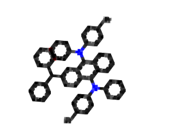 CC(C)c1ccc(N(c2ccccc2)c2c3ccccc3c(N(c3ccccc3)c3ccc(C(C)C)cc3)c3cc(C(c4ccccc4)c4ccccc4)ccc23)cc1